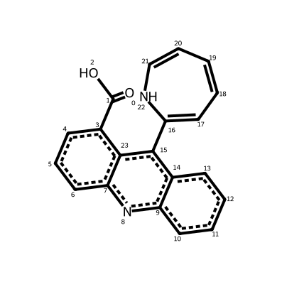 O=C(O)c1cccc2nc3ccccc3c(C3=CC=CC=CN3)c12